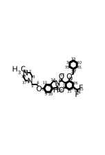 CN1CCN(CCOc2ccc3c(c2)CN(C(=O)c2c(O)cc(C(F)F)cc2OCc2ccccc2)C3)CC1